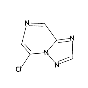 Clc1cncc2ncnn12